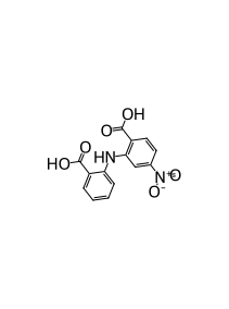 O=C(O)c1ccccc1Nc1cc([N+](=O)[O-])ccc1C(=O)O